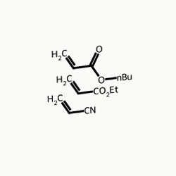 C=CC#N.C=CC(=O)OCC.C=CC(=O)OCCCC